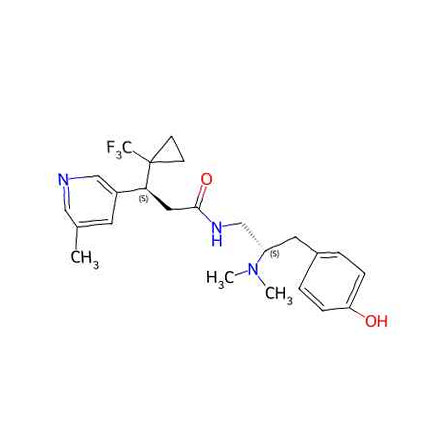 Cc1cncc([C@H](CC(=O)NC[C@H](Cc2ccc(O)cc2)N(C)C)C2(C(F)(F)F)CC2)c1